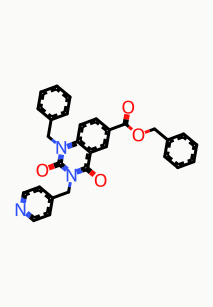 O=C(OCc1ccccc1)c1ccc2c(c1)c(=O)n(Cc1ccncc1)c(=O)n2Cc1ccccc1